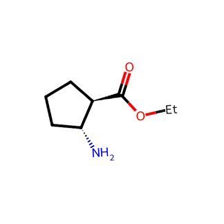 CCOC(=O)[C@@H]1CCC[C@H]1N